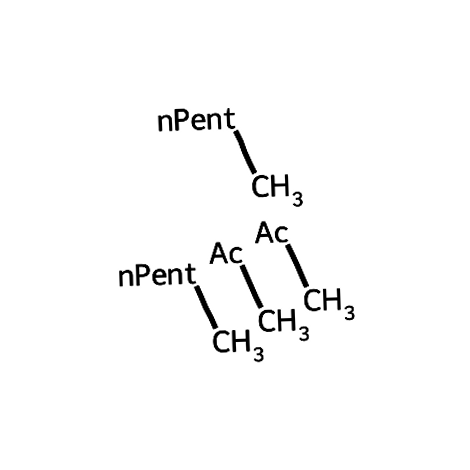 CC(C)=O.CC(C)=O.CCCCCC.CCCCCC